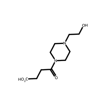 O=C(O)CCC(=O)N1CCN(CCO)CC1